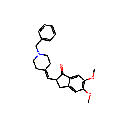 COc1cc2c(cc1OC)C(=O)C(C=C1CCN(Cc3ccccc3)CC1)C2